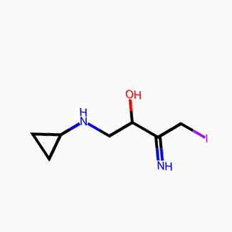 N=C(CI)C(O)CNC1CC1